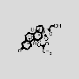 CC(=O)O[C@H]1C[C@]2(C=O)[C@@H](C(=O)CO)CC[C@H]2[C@@H]2CCC3=CC(=O)CC[C@]3(C)[C@H]21